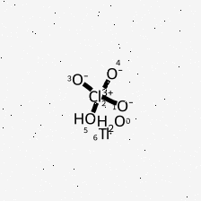 O.[O-][Cl+3]([O-])([O-])O.[Tl]